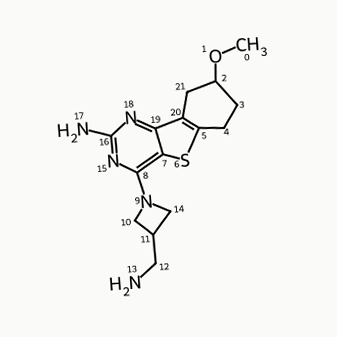 COC1CCc2sc3c(N4CC(CN)C4)nc(N)nc3c2C1